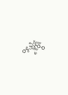 CC(C)C[C@H](N[C@H](CCC(=O)Nc1ccccc1)C(=O)[O-])C(=O)N(c1ccc(-c2ccccc2)cc1)[C@@H](C)C(=O)[O-].[Li+].[Li+]